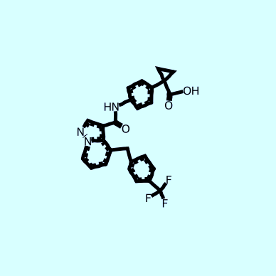 O=C(Nc1ccc(C2(C(=O)O)CC2)cc1)c1cnn2cccc(Cc3ccc(C(F)(F)F)cc3)c12